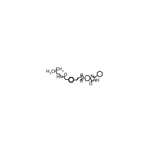 CN(C)CCNC(=O)Cc1ccc(C=CS(=O)(=O)N2CCC3(CC2)N=C(C2CCCCC2)NC3=O)cc1